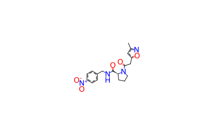 Cc1cc(CC(=O)N2CCC[C@H]2C(=O)NCc2ccc([N+](=O)[O-])cc2)on1